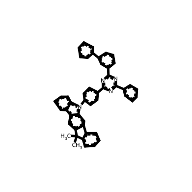 CC1(C)c2ccccc2-c2cc3c(cc21)c1ccccc1n3-c1ccc(-c2nc(-c3ccccc3)nc(-c3cccc(-c4ccccc4)c3)n2)cc1